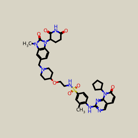 Cc1cc(S(=O)(=O)NCCOC2CCN(Cc3ccc4c(c3)n(C)c(=O)n4C3CCC(=O)NC3=O)CC2)ccc1Nc1ncc2ccc(=O)n(C3CCCC3)c2n1